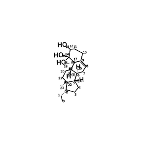 CC[C@H]1CC[C@H]2[C@@H]3CC=C4CCC(O)C(O)(O)[C@]4(C)[C@H]3CC[C@]12C